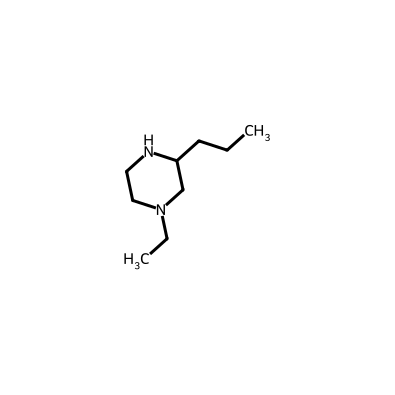 CCCC1CN(CC)CCN1